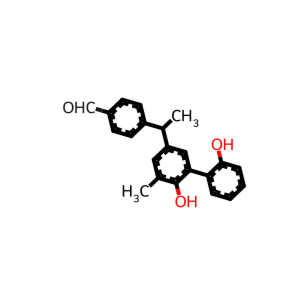 Cc1cc(C(C)c2ccc(C=O)cc2)cc(-c2ccccc2O)c1O